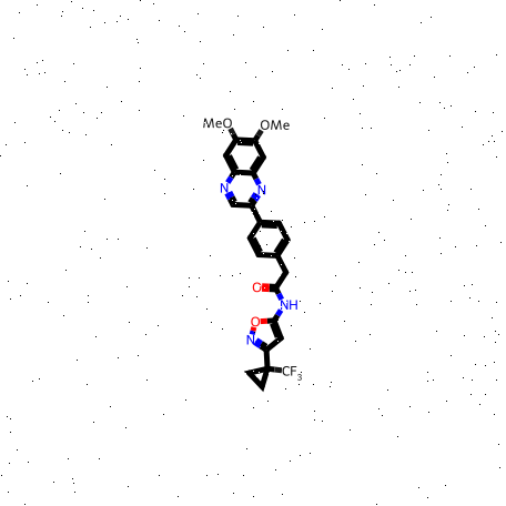 COc1cc2ncc(-c3ccc(CC(=O)Nc4cc(C5(C(F)(F)F)CC5)no4)cc3)nc2cc1OC